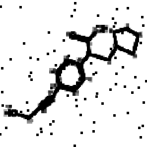 O=C(O)C(CC1CCCC1)c1ccc(C#CCO)cc1